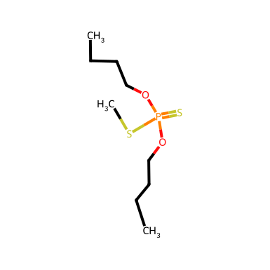 CCCCOP(=S)(OCCCC)SC